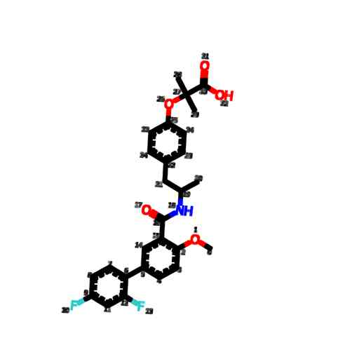 COc1ccc(-c2ccc(F)cc2F)cc1C(=O)NC(C)Cc1ccc(OC(C)(C)C(=O)O)cc1